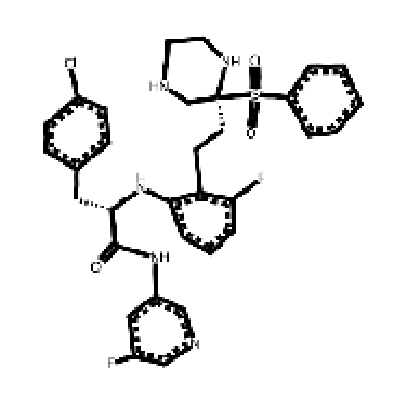 O=C(Nc1cncc(F)c1)[C@H](Cc1ccc(Cl)cc1)Nc1cccc(F)c1CC[C@]1(S(=O)(=O)c2ccccc2)CNCCN1